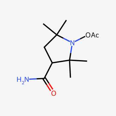 CC(=O)ON1C(C)(C)CC(C(N)=O)C1(C)C